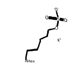 CCCCCCCCCCCOS(=O)(=O)[O-].[K+]